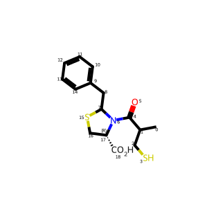 CC(CS)C(=O)N1C(Cc2ccccc2)SC[C@H]1C(=O)O